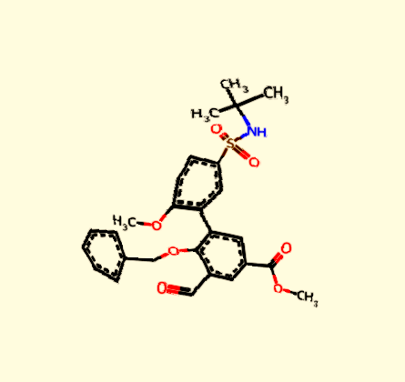 COC(=O)c1cc(C=O)c(OCc2ccccc2)c(-c2cc(S(=O)(=O)NC(C)(C)C)ccc2OC)c1